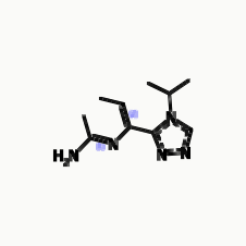 C/C=C(\N=C(/C)N)c1nncn1C(C)C